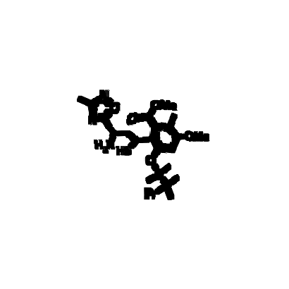 COC(=O)c1c(C)c(OC)cc(O[Si](C)(C)C(C)(C)C(C)C)c1C(S)CC(N)c1nc(C)no1